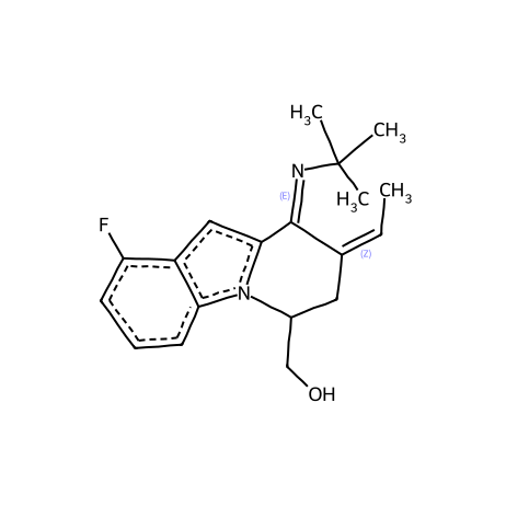 C/C=C1/CC(CO)n2c(cc3c(F)cccc32)/C1=N/C(C)(C)C